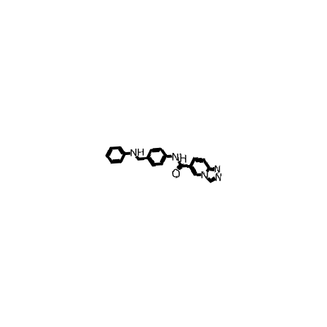 O=C(Nc1ccc(CNc2ccccc2)cc1)c1ccc2nncn2c1